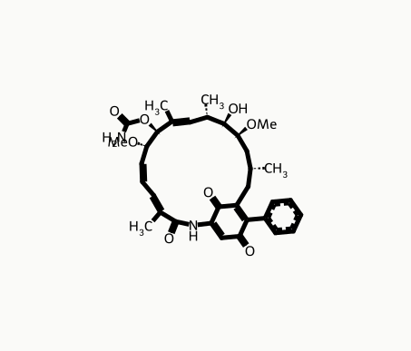 CO[C@H]1/C=C\C=C(/C)C(=O)NC2=CC(=O)C(c3ccccc3)=C(C[C@@H](C)C[C@H](OC)[C@H](O)[C@@H](C)/C=C(\C)[C@@H]1OC(N)=O)C2=O